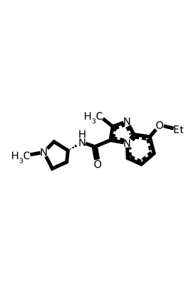 CCOc1cccn2c(C(=O)N[C@@H]3CCN(C)C3)c(C)nc12